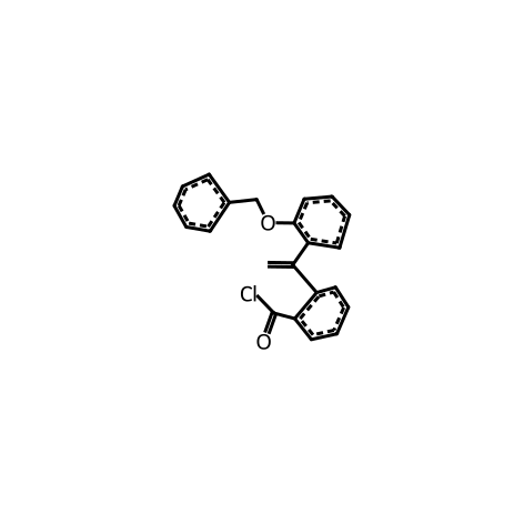 C=C(c1ccccc1OCc1ccccc1)c1ccccc1C(=O)Cl